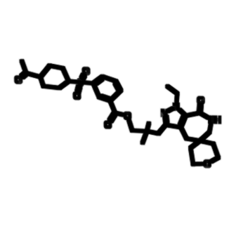 CCn1nc(CC(C)(C)COC(=O)c2cccc(S(=O)(=O)C3CCC(C(C)=O)CC3)c2)c2c1C(=O)NCC1(CCOCC1)C2